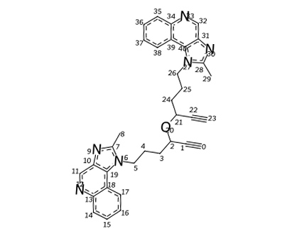 C#CC(CCCn1c(C)nc2cnc3ccccc3c21)OC(C#C)CCCn1c(C)nc2cnc3ccccc3c21